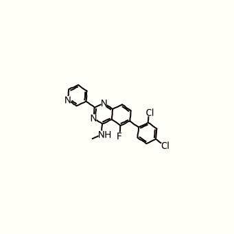 CNc1nc(-c2cccnc2)nc2ccc(-c3ccc(Cl)cc3Cl)c(F)c12